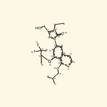 CCn1c(CO)nn(-c2cc(OC(C)C(F)(F)F)c3c(OCC(C)C)nccc3c2)c1=O